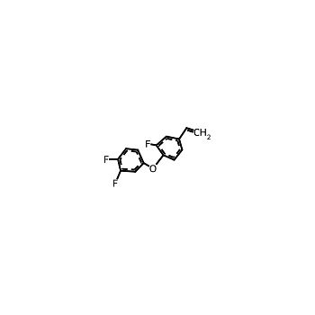 C=Cc1ccc(Oc2ccc(F)c(F)c2)c(F)c1